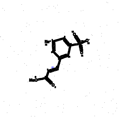 COC(=O)/C=C/c1cccc(S(=O)(=O)[O-])c1.[Na+]